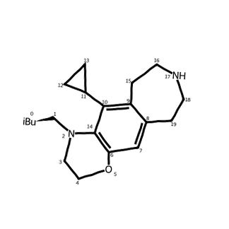 CC[C@H](C)CN1CCOc2cc3c(c(C4CC4)c21)CCNCC3